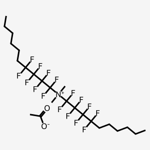 CC(=O)[O-].CCCCCCC(F)(F)C(F)(F)C(F)(F)C(F)(F)[N+](C)(C)C(F)(F)C(F)(F)C(F)(F)C(F)(F)CCCCCC